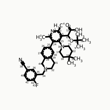 Cc1nc(C)c(C(OC(C)(C)C)C(=O)O)c(N2CCC(C)(C)CC2)c1-c1ccc2c(c1)CCN(Cc1cc(C#N)ccc1F)C2